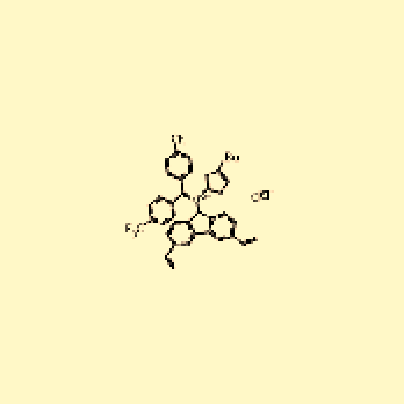 C=Cc1ccc2c(c1)-c1cc(C=C)ccc1[CH]2[Zr+2]([C]1=CC(C(C)(C)C)=CC1)=[C](c1ccc(C(F)(F)F)cc1)c1ccc(C(F)(F)F)cc1.[Cl-].[Cl-]